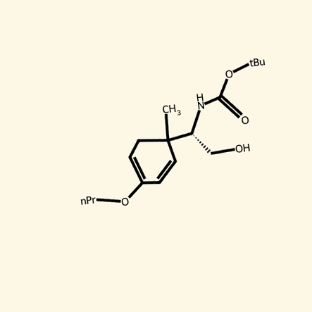 CCCOC1=CCC(C)([C@@H](CO)NC(=O)OC(C)(C)C)C=C1